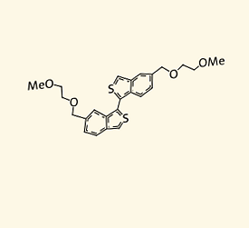 COCCOCc1ccc2c(-c3scc4ccc(COCCOC)cc34)scc2c1